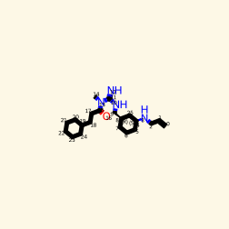 C=CCN[C@H]1CCC[C@@H](CNC(=N)N(C)C(=O)CCC2CCCCC2)C1